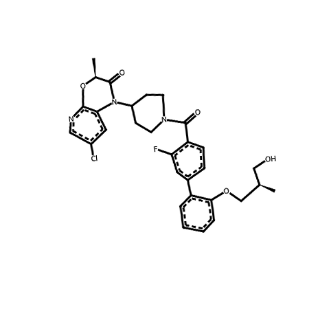 C[C@H](CO)COc1ccccc1-c1ccc(C(=O)N2CCC(N3C(=O)[C@H](C)Oc4ncc(Cl)cc43)CC2)c(F)c1